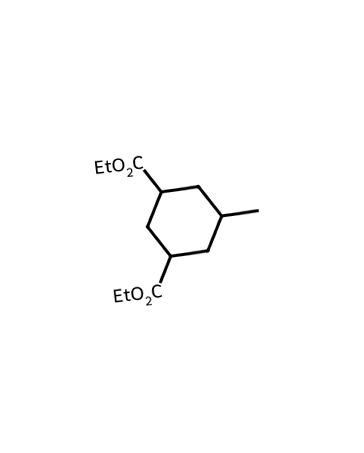 CCOC(=O)C1CC(C)CC(C(=O)OCC)C1